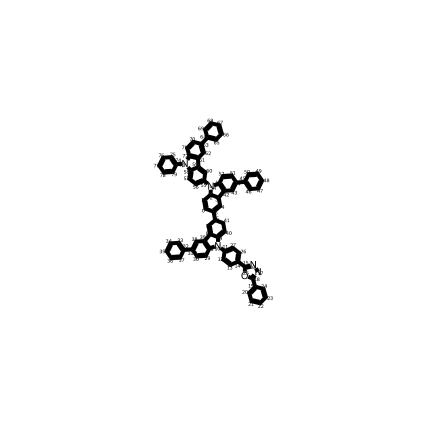 C1=CC2C(C=C1C1C=c3c(n(-c4ccc(-c5nnc(-c6ccccc6)o5)cc4)c4ccc(-c5ccccc5)cc34)=CC1)c1cc(-c3ccccc3)ccc1N2c1ccc2c(c1)c1cc(-c3ccccc3)ccc1n2-c1ccccc1